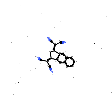 N#CC(C#N)=C1CC(=C(C#N)C#N)c2cc3ccccc3cc21